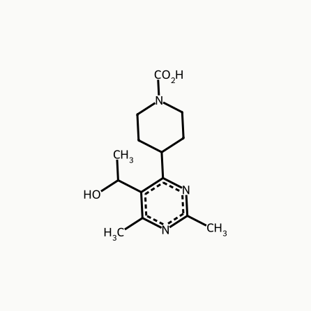 Cc1nc(C)c(C(C)O)c(C2CCN(C(=O)O)CC2)n1